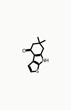 CC1(C)CC(=O)c2c([nH]c3sccc23)C1